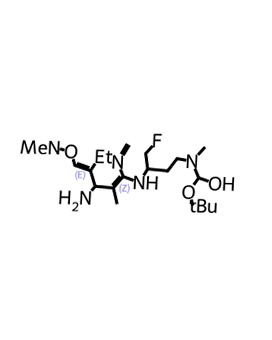 C=N/C(NC(CF)CCN(C)C(O)OC(C)(C)C)=C(/C)C(N)/C(=C/ONC)CC